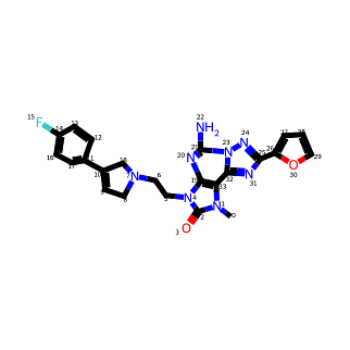 Cn1c(=O)n(CCN2CC=C(c3ccc(F)cc3)C2)c2nc(N)n3nc(-c4ccco4)nc3c21